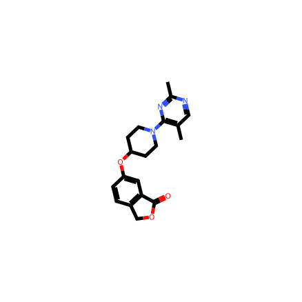 Cc1ncc(C)c(N2CCC(Oc3ccc4c(c3)C(=O)OC4)CC2)n1